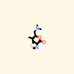 Cc1c(CN(C)C)oc(=O)c2ncsc12